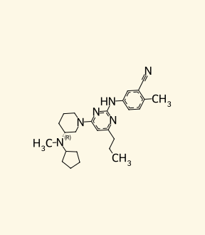 CCCc1cc(N2CCC[C@@H](N(C)C3CCCC3)C2)nc(Nc2ccc(C)c(C#N)c2)n1